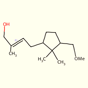 COCC1CCC(C/C=C(\C)CO)C1(C)C